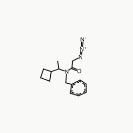 CC(C1CCC1)N(Cc1ccccc1)C(=O)CN=[N+]=[N-]